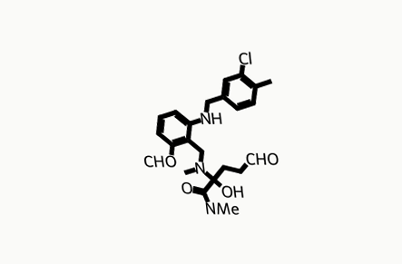 CNC(=O)C(O)(CCC=O)N(C)Cc1c(C=O)cccc1NCc1ccc(C)c(Cl)c1